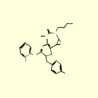 CCN1C(=O)N(CCCO)C2OC2C2=C1N=C(Oc1ccccc1F)C(Cc1ccc(Cl)cc1)C2